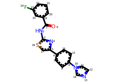 O=C(Nc1nc(-c2ccc(-n3ccnc3)cc2)cs1)c1cccc(F)c1